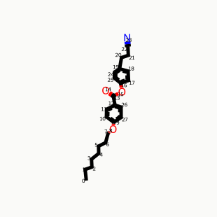 CCCCCCCCOc1ccc(C(=O)Oc2ccc(CCC#N)cc2)cc1